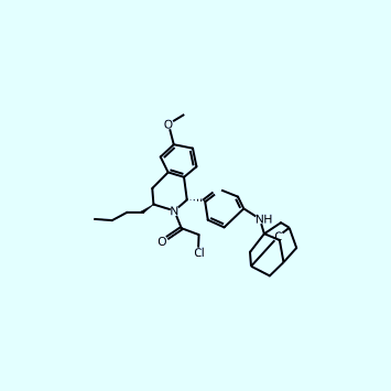 C=C(/C=C\C(=C/C)NC12CC3CC(CC(C3)C1)C2)[C@H]1c2ccc(OC)cc2C[C@H](CCCC)N1C(=O)CCl